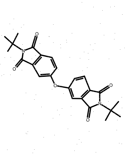 CC(C)(C)N1C(=O)c2ccc(Oc3ccc4c(c3)C(=O)N(C(C)(C)C)C4=O)cc2C1=O